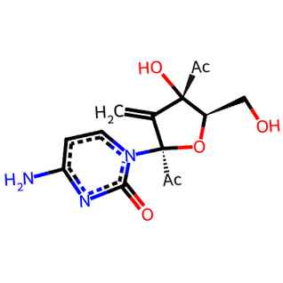 C=C1[C@@](O)(C(C)=O)[C@@H](CO)O[C@@]1(C(C)=O)n1ccc(N)nc1=O